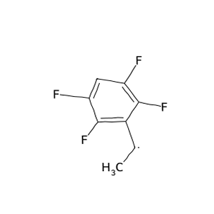 C[CH]c1c(F)c(F)cc(F)c1F